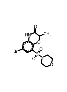 CC1Oc2c(cc(Br)cc2S(=O)(=O)N2CCOCC2)NC1=O